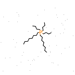 CCCCCCCCP(CCCC)(CCCC)(CCCC)CCCCCCCC